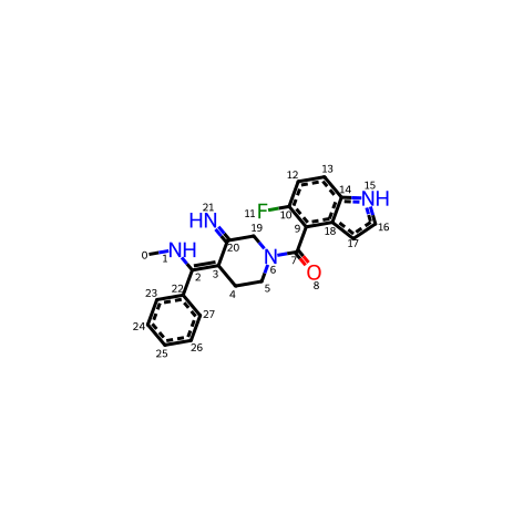 CN/C(=C1/CCN(C(=O)c2c(F)ccc3[nH]ccc23)CC1=N)c1ccccc1